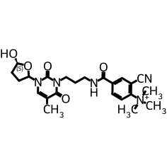 Cc1cn(C2CC[C@@H](O)O2)c(=O)n(CCCNC(=O)c2ccc([N+](C)(C)C)c(C#N)c2)c1=O